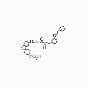 O=C(CCCOc1ccc2c(c1)C1(CC2)CCC(C(=O)O)CC1)NCCc1cccc(OCCN2CCCC2)c1